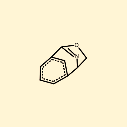 c1cc2cc(c1)C1COC2=N1